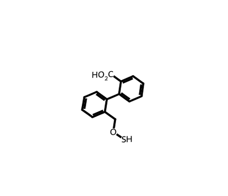 O=C(O)c1ccccc1-c1ccccc1COS